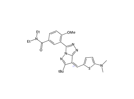 CCN(CC)C(=O)c1ccc(OC)c(-c2nnc3/c(=C\c4ccc(N(C)C)s4)c(C(C)(C)C)nn23)c1